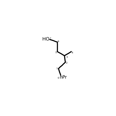 CCCCCC(C)CCO